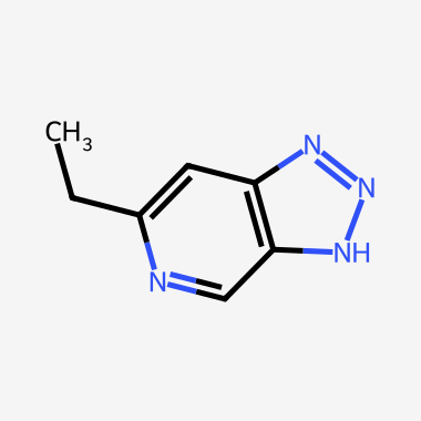 CCc1cc2nn[nH]c2cn1